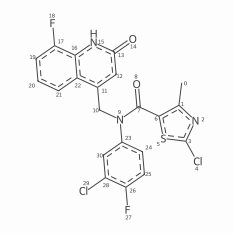 Cc1nc(Cl)sc1C(=O)N(Cc1cc(=O)[nH]c2c(F)cccc12)c1ccc(F)c(Cl)c1